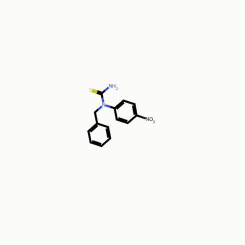 NC(=S)N(Cc1ccccc1)c1ccc([N+](=O)[O-])cc1